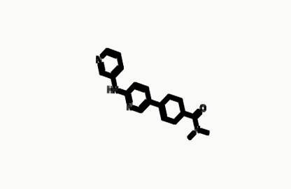 CN(C)C(=O)C1CC=C(c2ccc(Nc3cccnc3)nc2)CC1